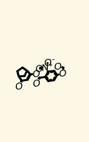 O=C(OC1=CC(=O)C2CCC1C2)c1ccc2c(c1[N+](=O)[O-])OCO2